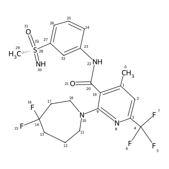 Cc1cc(C(F)(F)F)nc(N2CCCC(F)(F)CC2)c1C(=O)Nc1cccc([S@@](C)(=N)=O)c1